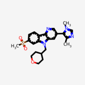 Cc1ncn(C)c1-c1cnc2c3ccc(S(C)(=O)=O)cc3n(CC3CCOCC3)c2c1